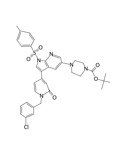 Cc1ccc(S(=O)(=O)n2cc(-c3ccn(Cc4cccc(Cl)c4)c(=O)c3)c3cc(N4CCN(C(=O)OC(C)(C)C)CC4)cnc32)cc1